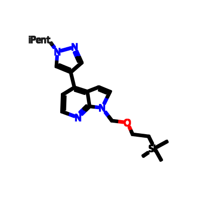 CCCC(C)n1cc(-c2ccnc3c2ccn3COCC[Si](C)(C)C)cn1